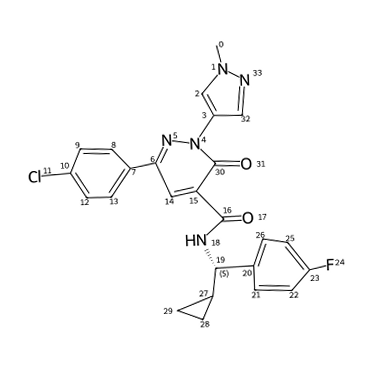 Cn1cc(-n2nc(-c3ccc(Cl)cc3)cc(C(=O)N[C@H](c3ccc(F)cc3)C3CC3)c2=O)cn1